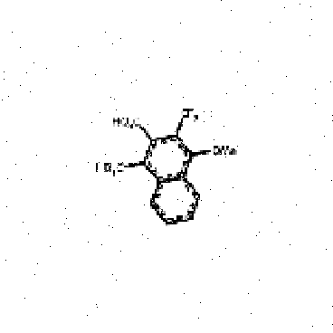 COc1c(C(F)(F)F)c(C(=O)O)c(C(=O)O)c2ccccc12